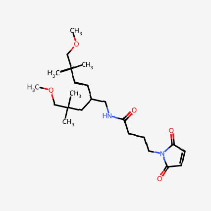 COCC(C)(C)CCC(CNC(=O)CCCN1C(=O)C=CC1=O)CC(C)(C)COC